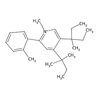 CCC(C)(C)c1cc(-c2ccccc2C)[n+](C)cc1C(C)(CC)CC